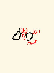 CC1CC2CCCC(C2)C12OOC1(C[C@H](O)C[C@H](O)C1)O2